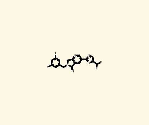 O=C1c2cc(-c3nnc(C(F)F)o3)cnc2CN1Cc1cc(F)cc(F)c1